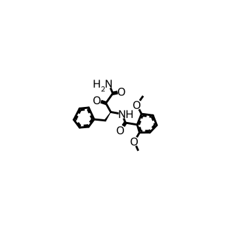 COc1cccc(OC)c1C(=O)N[C@@H](Cc1ccccc1)C(=O)C(N)=O